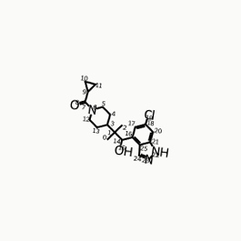 CC(C)(C1CCN(C(=O)C2CC2)CC1)C(O)c1cc(Cl)cc2[nH]ncc12